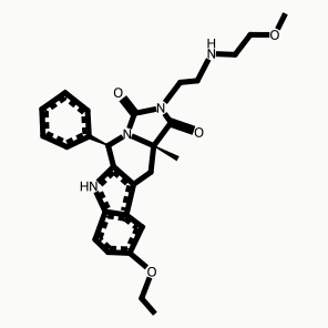 CCOc1ccc2[nH]c3c(c2c1)C[C@@]1(C)C(=O)N(CCNCCOC)C(=O)N1[C@@H]3c1ccccc1